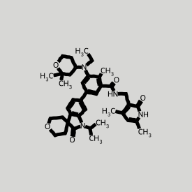 CCN(c1cc(-c2ccc3c(c2)N(C(C)C)C(=O)C32CCOCC2)cc(C(=O)NCc2c(C)cc(C)[nH]c2=O)c1C)C1CCOC(C)(C)C1